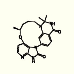 C[C@H]1CCCN2c3cc(ccc3C(=O)NC2(C)C)-n2c(=O)[nH]c3nccc(c32)O1